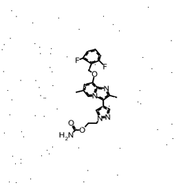 Cc1cc(OCc2c(F)cccc2F)c2nc(C)c(-c3cnn(CCOC(N)=O)c3)n2c1